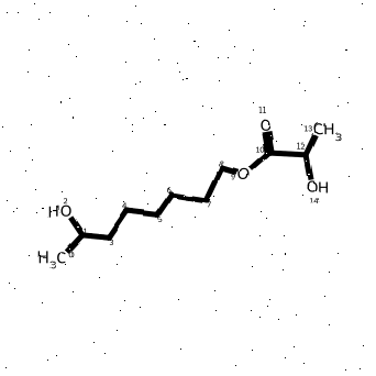 CC(O)CCCCCCOC(=O)C(C)O